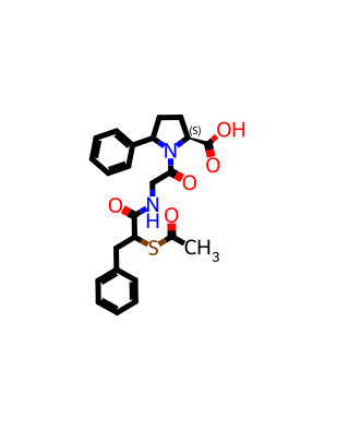 CC(=O)SC(Cc1ccccc1)C(=O)NCC(=O)N1C(c2ccccc2)CC[C@H]1C(=O)O